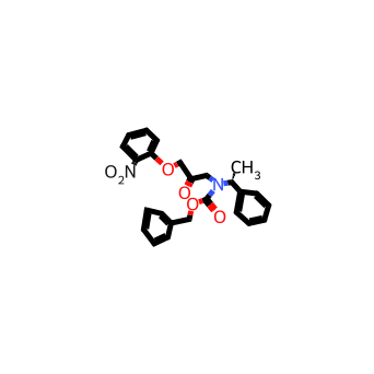 C[C@H](c1ccccc1)N(CC(=O)COc1ccccc1[N+](=O)[O-])C(=O)OCc1ccccc1